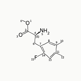 COC(=O)[C@@H](N)Cc1cc(C)c(C)cc1F